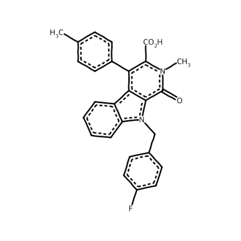 Cc1ccc(-c2c(C(=O)O)n(C)c(=O)c3c2c2ccccc2n3Cc2ccc(F)cc2)cc1